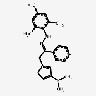 Cc1cc(C)c(NN=C(CC2=CC(N(C)C)=CC2)c2ccccc2)c(C)c1